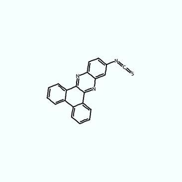 S=C=Nc1ccc2nc3c4ccccc4c4ccccc4c3nc2c1